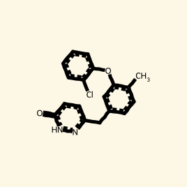 Cc1ccc(Cc2ccc(=O)[nH]n2)cc1Oc1ccccc1Cl